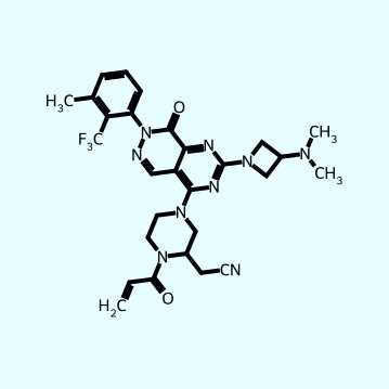 C=CC(=O)N1CCN(c2nc(N3CC(N(C)C)C3)nc3c(=O)n(-c4cccc(C)c4C(F)(F)F)ncc23)CC1CC#N